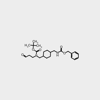 CC(C)(C)OC(=O)N(CCC=O)CC1CCC(CNC(=O)OCc2ccccc2)CC1